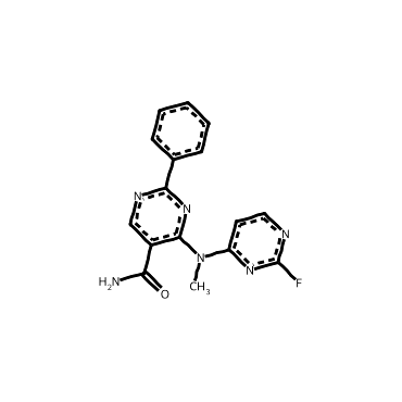 CN(c1ccnc(F)n1)c1nc(-c2ccccc2)ncc1C(N)=O